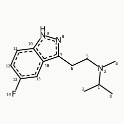 CC(C)N(C)CCc1n[nH]c2ccc(F)cc12